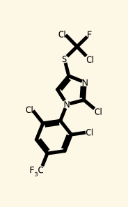 FC(Cl)(Cl)Sc1cn(-c2c(Cl)cc(C(F)(F)F)cc2Cl)c(Cl)n1